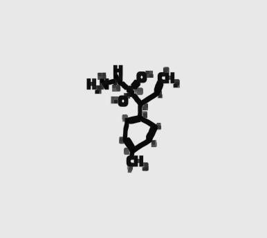 C=CC(c1ccc(C)cc1)S(=O)(=O)NN